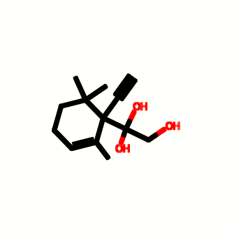 C#CC1(C(O)(O)CO)C(C)=CCCC1(C)C